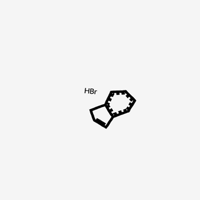 Br.C1=Cc2ccccc2C1